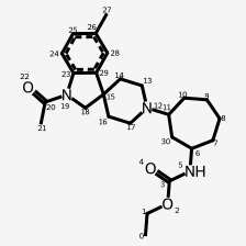 CCOC(=O)NC1CCCCC(N2CCC3(CC2)CN(C(C)=O)c2ccc(C)cc23)C1